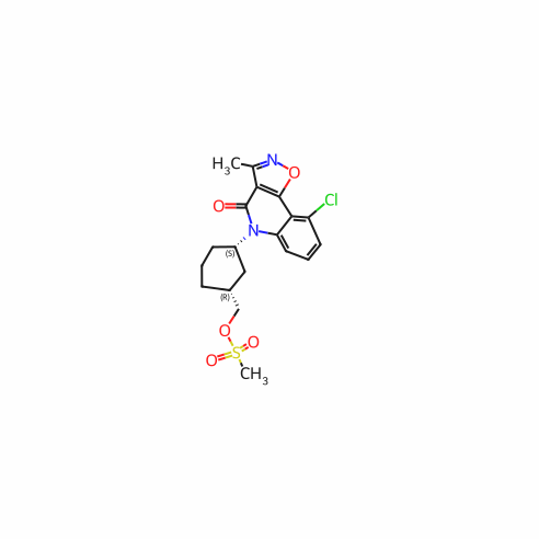 Cc1noc2c1c(=O)n([C@H]1CCC[C@@H](COS(C)(=O)=O)C1)c1cccc(Cl)c21